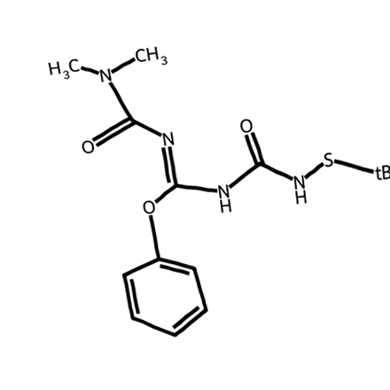 CN(C)C(=O)N=C(NC(=O)NSC(C)(C)C)Oc1ccccc1